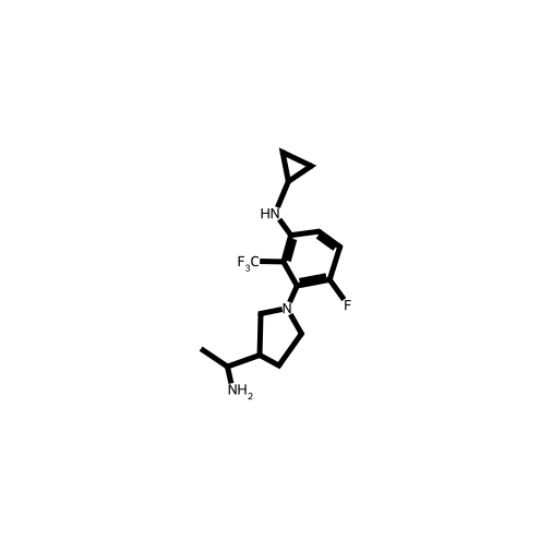 CC(N)C1CCN(c2c(F)ccc(NC3CC3)c2C(F)(F)F)C1